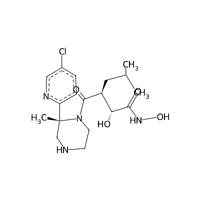 CC(C)C[C@H](C(=O)N1CCNC[C@]1(C)c1ccc(Cl)cn1)[C@@H](O)C(=O)NO